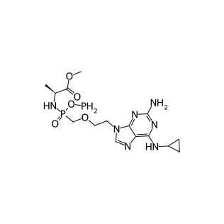 COC(=O)[C@H](C)NP(=O)(COCCn1cnc2c(NC3CC3)nc(N)nc21)OP